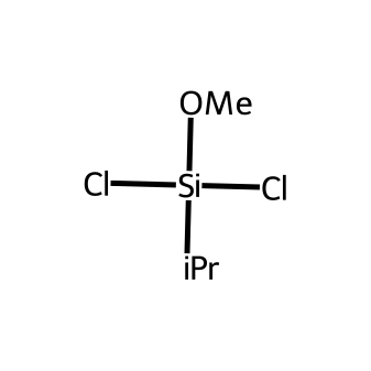 CO[Si](Cl)(Cl)C(C)C